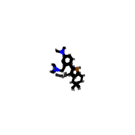 CN(C)Cc1cc(N(C)C)ccc1-c1sc2c(c1C(=O)O)CC(C)(C)CC2